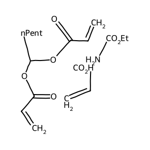 C=CC(=O)O.C=CC(=O)OC(CCCCC)OC(=O)C=C.CCOC(N)=O